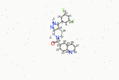 C[C@@H]1c2nn(C)c(-c3cc(F)cc(F)c3)c2CCN1C(=O)c1ccc2ncccc2c1